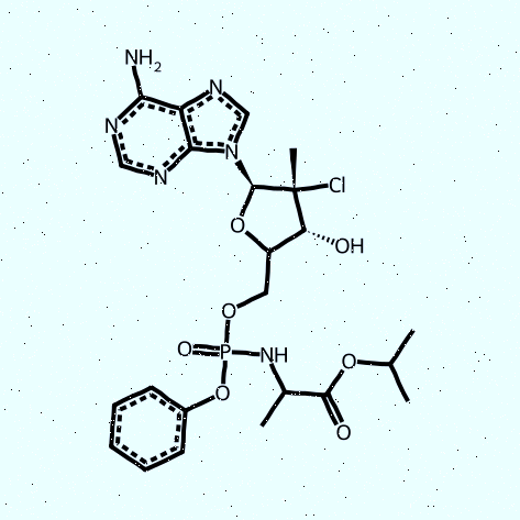 CC(C)OC(=O)C(C)NP(=O)(OCC1O[C@@H](n2cnc3c(N)ncnc32)[C@](C)(Cl)[C@@H]1O)Oc1ccccc1